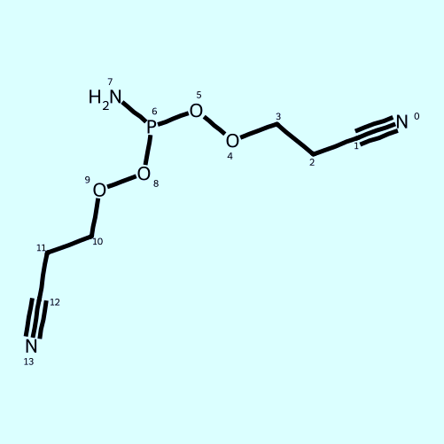 N#CCCOOP(N)OOCCC#N